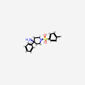 Cc1ccc(S(=O)(=O)N2CCC(N)(c3ccccc3)CC2)cc1